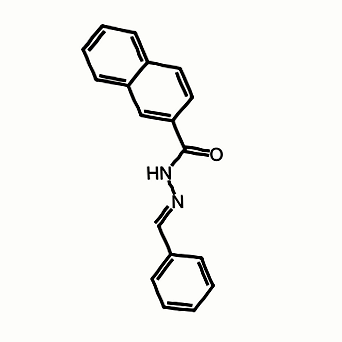 O=C(N/N=C/c1ccccc1)c1ccc2ccccc2c1